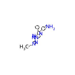 CCCCn1cnc(-c2nnc3c4cc(-c5ccccc5)c(-c5ccc(CN)cc5)nc4ccn23)c1